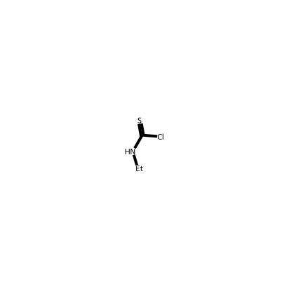 CCNC(=S)Cl